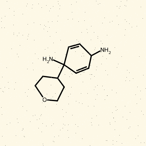 NC1C=CC(N)(C2CCOCC2)C=C1